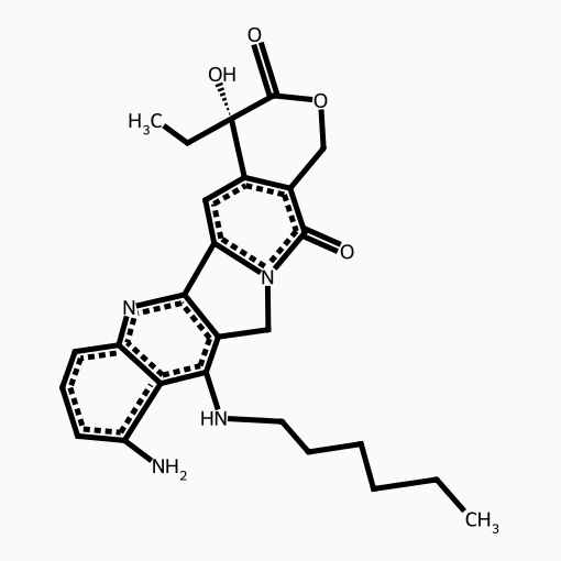 CCCCCCNc1c2c(nc3cccc(N)c13)-c1cc3c(c(=O)n1C2)COC(=O)[C@]3(O)CC